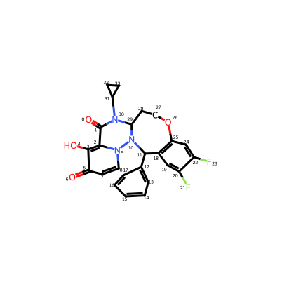 O=C1c2c(O)c(=O)ccn2N2C(c3ccccc3)c3cc(F)c(F)cc3OCCC2N1C1CC1